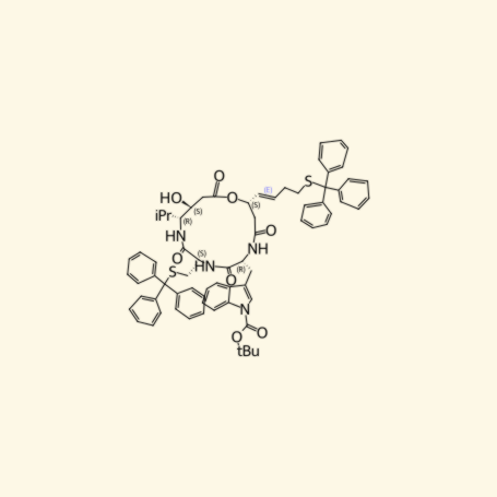 CC(C)[C@H]1NC(=O)[C@@H](CSC(c2ccccc2)(c2ccccc2)c2ccccc2)NC(=O)[C@@H](Cc2cn(C(=O)OC(C)(C)C)c3ccccc23)NC(=O)C[C@@H](/C=C/CCSC(c2ccccc2)(c2ccccc2)c2ccccc2)OC(=O)C[C@@H]1O